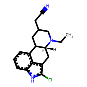 CCN1CC(CC#N)CC2c3cccc4[nH]c(Cl)c(c34)C[C@H]21